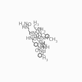 CCC(C)[C@H](NC(=O)[C@H](CCCCNC(N)=O)NC(=O)Cc1ccc(NC(=O)Nc2ccccc2C)cc1)C(=O)N[C@@H](Cc1ccc(C)cc1)C(=O)N[C@H](Cc1c[nH]cn1)C(N)=O